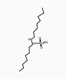 CCCCCCCCNCCCCCCCC.[O]=[Mo](=[O])([OH])[OH]